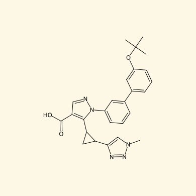 Cn1cc(C2CC2c2c(C(=O)O)cnn2-c2cccc(-c3cccc(OC(C)(C)C)c3)c2)nn1